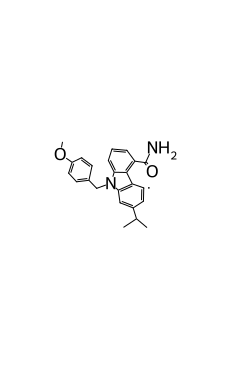 COc1ccc(Cn2c3cc(C(C)C)c[c]c3c3c(C(N)=O)cccc32)cc1